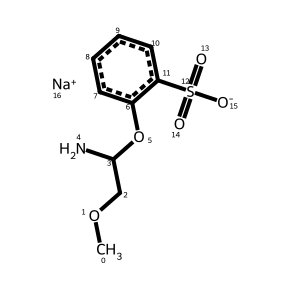 COCC(N)Oc1ccccc1S(=O)(=O)[O-].[Na+]